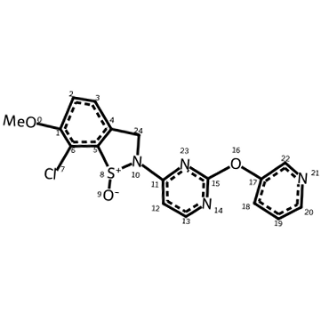 COc1ccc2c(c1Cl)[S+]([O-])N(c1ccnc(Oc3cccnc3)n1)C2